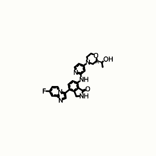 CC(O)[C@H]1CN(c2ccnc(Nc3ccc(-c4cnc5cc(F)ccn45)c4c3C(=O)NC4)c2)CCO1